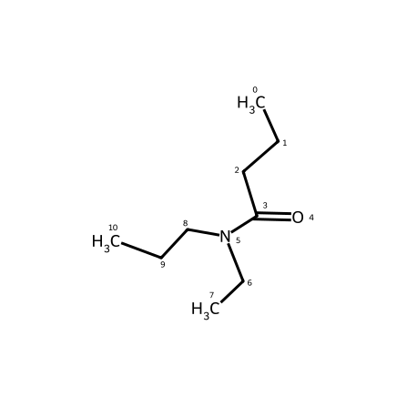 CCCC(=O)N(CC)CCC